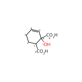 O=C(O)C1CCC=CC1(O)C(=O)O